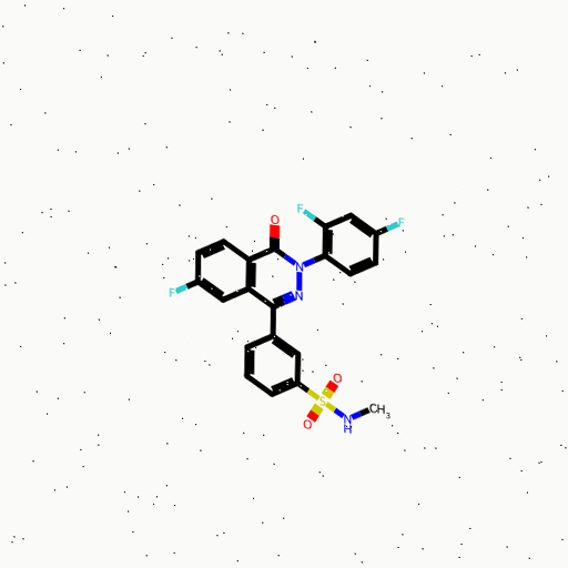 CNS(=O)(=O)c1cccc(-c2nn(-c3ccc(F)cc3F)c(=O)c3ccc(F)cc23)c1